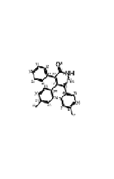 Cc1ccc(-c2n[nH]c(=O)c(-c3ccccc3)c2-c2ccc(C)cc2)cc1